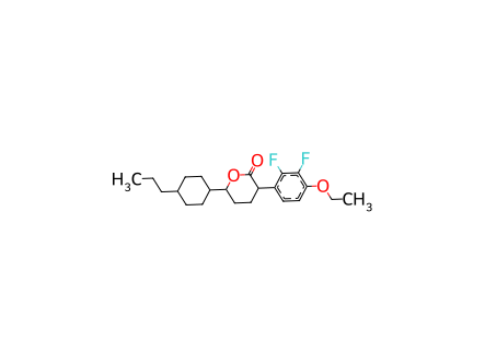 CCCC1CCC(C2CCC(c3ccc(OCC)c(F)c3F)C(=O)O2)CC1